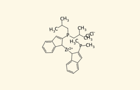 CC(C)CP(CC(C)C)C1=Cc2ccccc2[CH]1[Zr+2][CH]1C(P(C)C)=Cc2ccccc21.[Cl-].[Cl-]